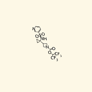 O=C(OC(C(F)(F)F)C(F)(F)F)N1CC(C2(NS(=O)(=O)c3cccnc3)CC2)C1